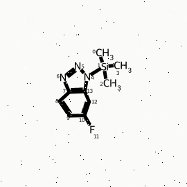 C[Si](C)(C)n1nnc2ccc(F)cc21